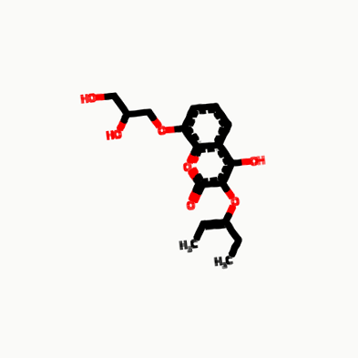 CC=C(CC)Oc1c(O)c2cccc(OCC(O)CO)c2oc1=O